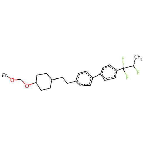 CCOCOC1CCC(CCc2ccc(-c3ccc(C(F)(F)C(F)C(F)(F)F)cc3)cc2)CC1